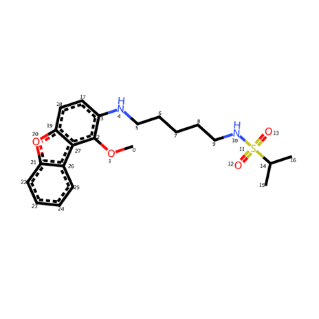 COc1c(NCCCCCNS(=O)(=O)C(C)C)ccc2oc3ccccc3c12